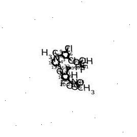 C[C@@H](c1cc(Cl)cc(Cl)c1)N1CCC[C@H](COc2cc(F)c(C(=O)NS(C)(=O)=O)cc2C2CC2)C1.O=C(O)C(F)(F)F